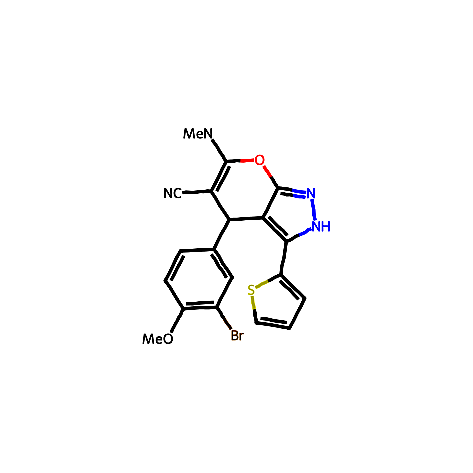 CNC1=C(C#N)C(c2ccc(OC)c(Br)c2)c2c(n[nH]c2-c2cccs2)O1